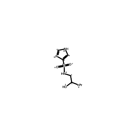 CCCC(O)CNS(=O)(=O)c1c[nH]cn1